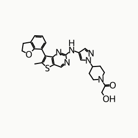 Cc1sc2cnc(Nc3cnn(C4CCN(C(=O)CO)CC4)c3)nc2c1-c1cccc2c1OCC2